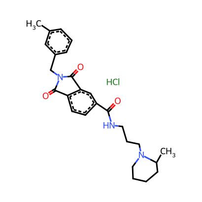 Cc1cccc(CN2C(=O)c3ccc(C(=O)NCCCN4CCCCC4C)cc3C2=O)c1.Cl